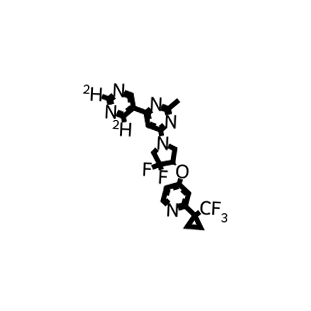 [2H]c1ncc(-c2cc(N3C[C@H](Oc4ccnc(C5(C(F)(F)F)CC5)c4)C(F)(F)C3)nc(C)n2)c([2H])n1